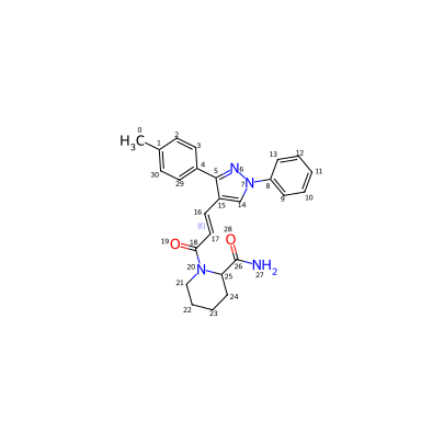 Cc1ccc(-c2nn(-c3ccccc3)cc2/C=C/C(=O)N2CCCCC2C(N)=O)cc1